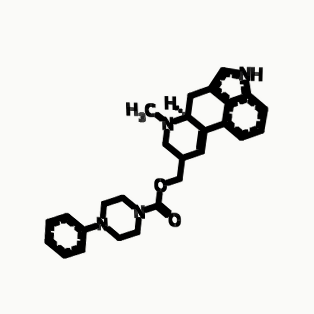 CN1CC(COC(=O)N2CCN(c3ccccc3)CC2)C=C2c3cccc4[nH]cc(c34)C[C@@H]21